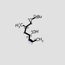 C/C=C\[C@@H](O)C[C@@H](C)COC(C)(C)C